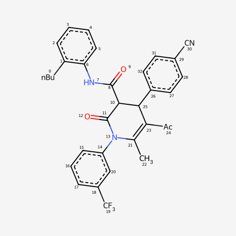 CCCCc1ccccc1NC(=O)C1C(=O)N(c2cccc(C(F)(F)F)c2)C(C)=C(C(C)=O)C1c1ccc(C#N)cc1